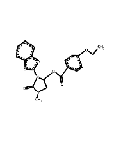 CCOc1ccc(C(=O)OC2CN(C)C(=O)N2c2nc3ccccc3s2)cc1